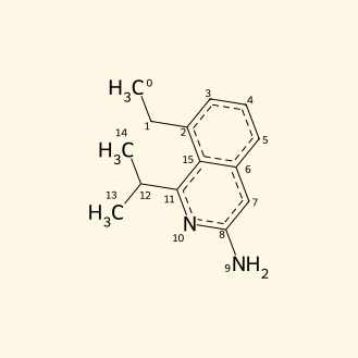 CCc1cccc2cc(N)nc(C(C)C)c12